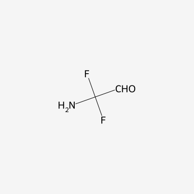 NC(F)(F)C=O